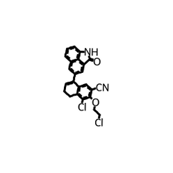 N#Cc1cc2c(c(Cl)c1OCCCl)CCC=C2c1cc2c3c(cccc3c1)NC2=O